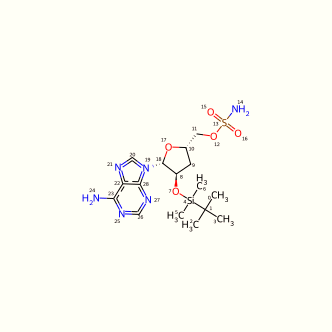 CC(C)(C)[Si](C)(C)O[C@@H]1C[C@@H](COS(N)(=O)=O)O[C@H]1n1cnc2c(N)ncnc21